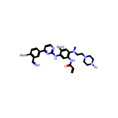 C=CC(=O)Nc1cc(Nc2nccc(-c3ccc(NC)c(C=N)c3)n2)c(OC)cc1N(C)CCN1CCN(C(C)=O)CC1